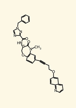 CN1C(=O)[C@H](NC(=O)c2ncn(Cc3ccccc3)n2)COc2ccc(C#CCCOc3ccc4ncccc4c3)cc21